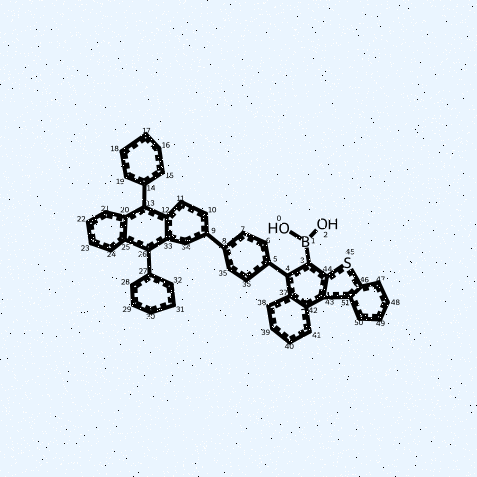 OB(O)c1c(-c2ccc(-c3ccc4c(-c5ccccc5)c5ccccc5c(-c5ccccc5)c4c3)cc2)c2ccccc2c2c1sc1ccccc12